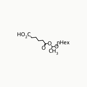 CCCCCCOC(C)OC(=O)CCCCC(=O)O